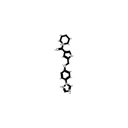 O=C(c1csc(COc2ccc(-n3cncn3)cc2)c1)N1CCCCC1